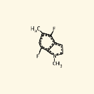 Cc1cc(F)c2c(ccn2C)c1F